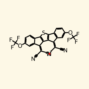 N#CC(C#N)=C1c2cc(OC(F)(F)F)ccc2-c2sc3c(c21)C(=C(C#N)C#N)c1cc(OC(F)(F)F)ccc1-3